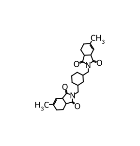 CC1=CC2C(=O)N(CC3CCCC(CN4C(=O)C5C=C(C)CCC5C4=O)C3)C(=O)C2CC1